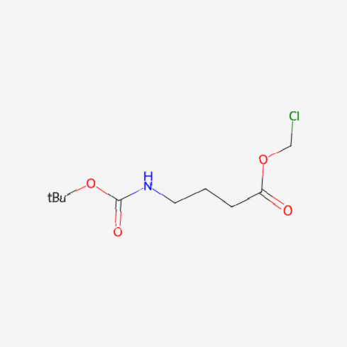 CC(C)(C)OC(=O)NCCCC(=O)OCCl